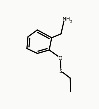 CCSOc1ccccc1CN